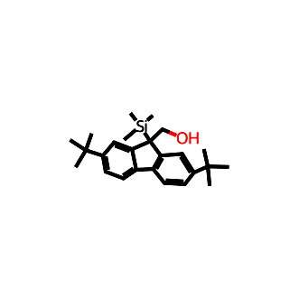 CC(C)(C)c1ccc2c(c1)C(CO)([Si](C)(C)C)c1cc(C(C)(C)C)ccc1-2